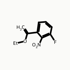 C=C(OCC)c1cccc(F)c1[N+](=O)[O-]